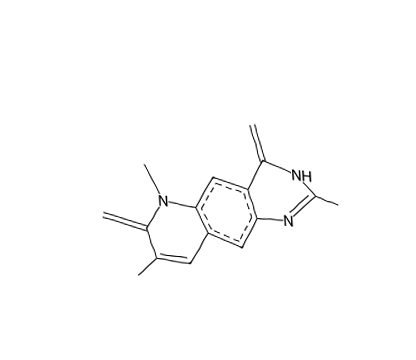 C=C1NC(C)=Nc2cc3c(cc21)N(C)C(=C)C(C)=C3